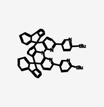 CC(C)(C)c1ccc(-c2ccc3c(n2)N2c4nc(-c5ccc(C(C)(C)C)nc5)ccc4C4(c5ccccc5-c5ccccc54)c4cccc(c42)C32c3ccccc3-c3ccccc32)cn1